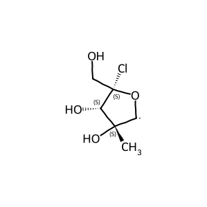 C[C@]1(O)[CH]O[C@](Cl)(CO)[C@H]1O